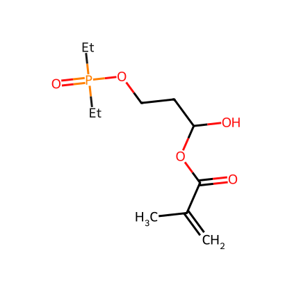 C=C(C)C(=O)OC(O)CCOP(=O)(CC)CC